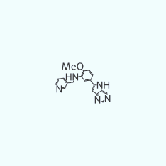 COc1ccc(-c2cc3ncncc3[nH]2)cc1NCc1cccnc1